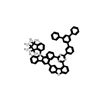 CC1(C)c2cccc(-n3c4ccccc4c4cc(-c5ccc6oc7cccc(-c8nc(-c9ccccc9)nc(-c9cccc(-c%10cc(-c%11ccccc%11)cc(-c%11ccccc%11)c%10)c9)n8)c7c6c5)ccc43)c2C(C)(C)C1(C)C